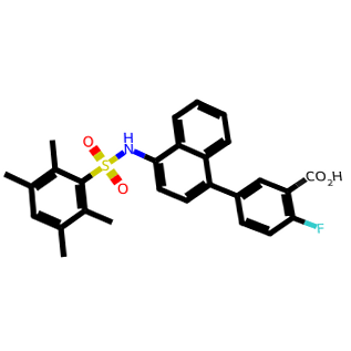 Cc1cc(C)c(C)c(S(=O)(=O)Nc2ccc(-c3ccc(F)c(C(=O)O)c3)c3ccccc23)c1C